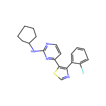 Fc1ccccc1-c1ncsc1-c1ccnc(NC2CCCCC2)n1